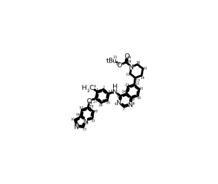 Cc1cc(Nc2ncnc3ccc(C4CCCN(C(=O)OC(C)(C)C)C4)cc23)ccc1Oc1ccn2cncc2c1